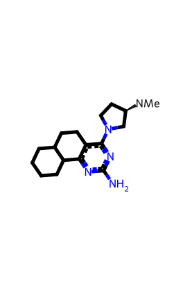 CN[C@@H]1CCN(c2nc(N)nc3c2CCC2CCCCC32)C1